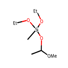 CCO[Si](C)(OCC)OC(C)OC